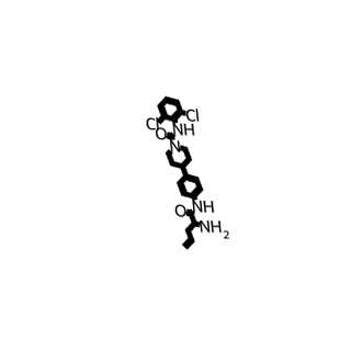 C=CCC(N)C(=O)Nc1ccc(C2CCN(C(=O)Nc3c(Cl)cccc3Cl)CC2)cc1